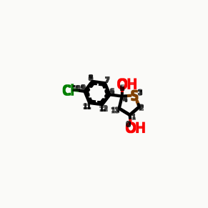 OC1CSC(O)(c2ccc(Cl)cc2)C1